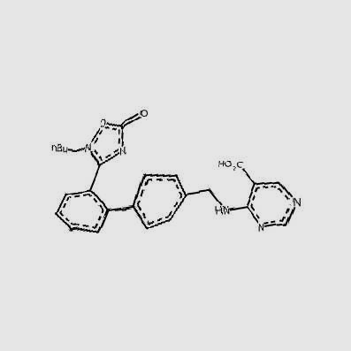 CCCCn1oc(=O)nc1-c1ccccc1-c1ccc(CNc2ncncc2C(=O)O)cc1